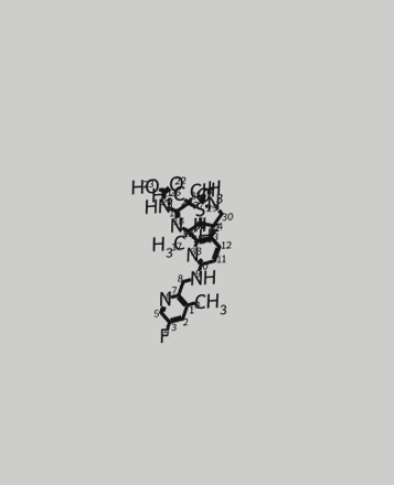 Cc1cc(F)cnc1CNc1ccc(F)c([C@@]2(C)N=C(NC(=O)O)C(C)(C)[SH]3(=O)NCC[C@H]23)n1